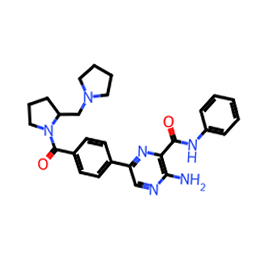 Nc1ncc(-c2ccc(C(=O)N3CCCC3CN3CCCC3)cc2)nc1C(=O)Nc1ccccc1